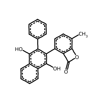 Cc1ccc(-c2c(-c3ccccc3)c(O)c3ccccc3c2O)c2c1OC2=O